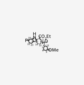 CCOC(=O)C1=CN(C(=O)c2cccc(OC)c2)CCc2c1[nH]c1cc(F)ccc21